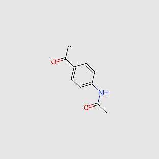 [CH2]C(=O)c1ccc(NC(C)=O)cc1